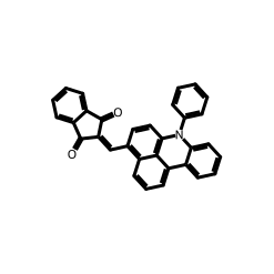 O=C1C(=Cc2ccc3c4c(cccc24)-c2ccccc2N3c2ccccc2)C(=O)c2ccccc21